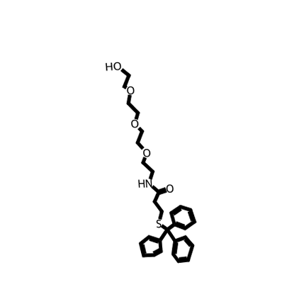 O=C(CCSC(c1ccccc1)(c1ccccc1)c1ccccc1)NCCOCCOCCOCCO